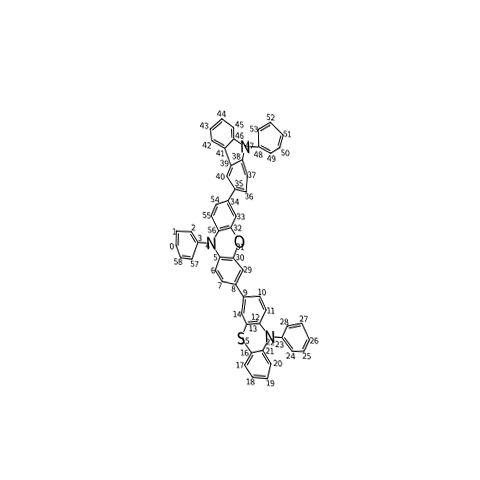 c1ccc(N2c3ccc(-c4ccc5c(c4)Sc4ccccc4N5c4ccccc4)cc3Oc3cc(-c4ccc5c(c4)c4ccccc4n5-c4ccccc4)ccc32)cc1